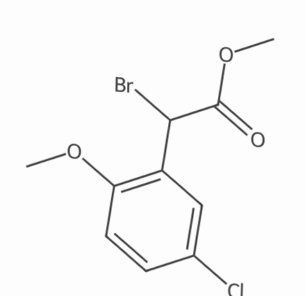 COC(=O)C(Br)c1cc(Cl)ccc1OC